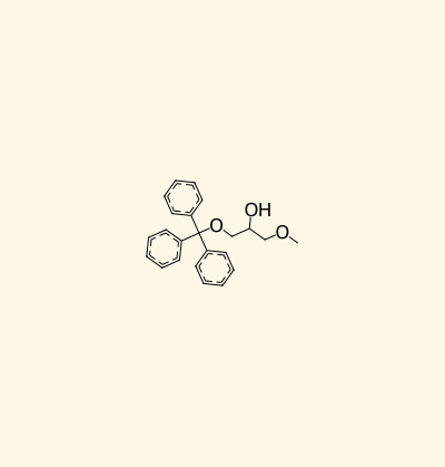 COCC(O)COC(c1ccccc1)(c1ccccc1)c1ccccc1